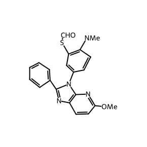 CNc1ccc(-n2c(-c3ccccc3)nc3ccc(OC)nc32)cc1SC=O